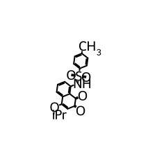 Cc1ccc(S(=O)(=O)Nc2cccc3c2C(=O)C(=O)C=C3OC(C)C)cc1